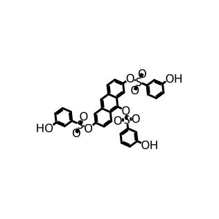 O=S(=O)(Oc1ccc2c(OS(=O)(=O)c3cccc(O)c3)c3cc(OS(=O)(=O)c4cccc(O)c4)ccc3cc2c1)c1cccc(O)c1